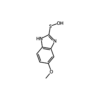 COc1ccc2[nH]c(SO)nc2c1